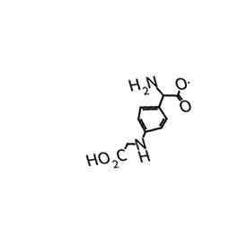 NC(C([O])=O)c1ccc(NCC(=O)O)cc1